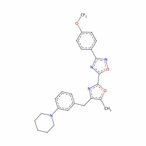 Cc1oc(-c2nc(-c3ccc(OC(F)(F)F)cc3)no2)nc1Cc1cccc(N2CCCCC2)c1